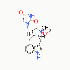 C[N+]1([O-])C[C@@H](CN2CC(=O)NC2=O)[C@@H]2Cc3cccc4[nH]cc(c34)C[C@H]21